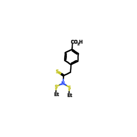 CCSN(SCC)C(=S)Cc1ccc(C(=O)O)cc1